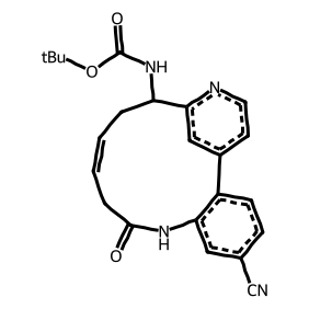 CC(C)(C)OC(=O)NC1CC=CCC(=O)Nc2cc(C#N)ccc2-c2ccnc1c2